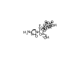 Nc1ccn([C@H](O[C@](CO)(CF)COP(=O)(O)OP(=O)(O)OP(=O)(O)O)[C@@H](O)CF)c(=O)n1